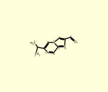 CC(C)c1cn2cc(C=O)nc2cn1